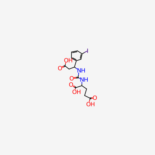 O=C(O)CCC(NC(=O)NC(CC(=O)O)c1cccc(I)c1)C(=O)O